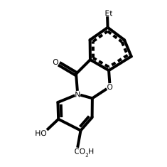 CCc1ccc2c(c1)C(=O)N1C=C(O)C(C(=O)O)=CC1O2